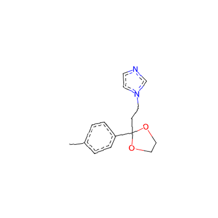 Cc1ccc(C2(CCn3ccnc3)OCCO2)cc1